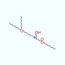 CCCCCCCCCOC(=O)CCCN(CCO)CCCCCCCCOC(CCCCCCCC)CCCCCCCC